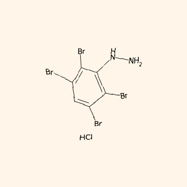 Cl.NNc1c(Br)c(Br)cc(Br)c1Br